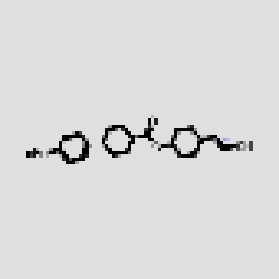 CCCCc1ccc([C@H]2CC[C@H](C(=O)OC3CCC(/C=C/C#N)CC3)CC2)cc1